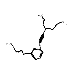 CCCC(C#Cc1cccc(CCCN)c1)CCC